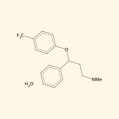 CNCCC(Oc1ccc(C(F)(F)F)cc1)c1ccccc1.O